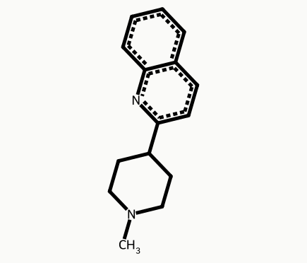 CN1CCC(c2ccc3ccccc3n2)CC1